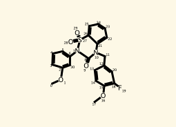 COc1cccc(N2C(=O)N(Cc3ccc(OC)c(F)c3)c3ccccc3S2(=O)=O)c1